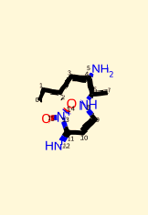 CCC/C=C(/N)C(C)N/C=C\C(=N)[N+](=O)[O-]